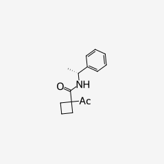 CC(=O)C1(C(=O)N[C@H](C)c2ccccc2)CCC1